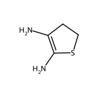 NC1=C(N)SCC1